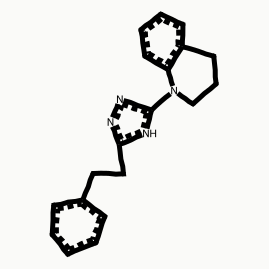 c1ccc(CCc2nnc(N3CCCc4ccccc43)[nH]2)cc1